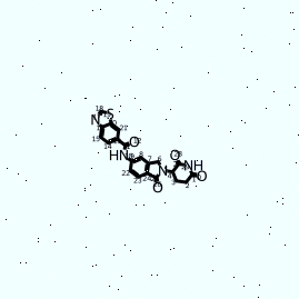 O=C1CCC(N2Cc3cc(NC(=O)c4ccc5ncsc5c4)ccc3C2=O)C(=O)N1